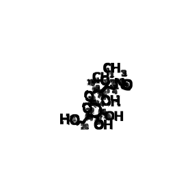 CCOC(CN=O)[C@@H](O)[C@@H](CC)O[C@H]1C[C@@H](O)C(O)[C@@H](CO)O1